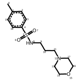 Cc1ccc(S(=O)(=O)NCCCN2CCOCC2)cc1